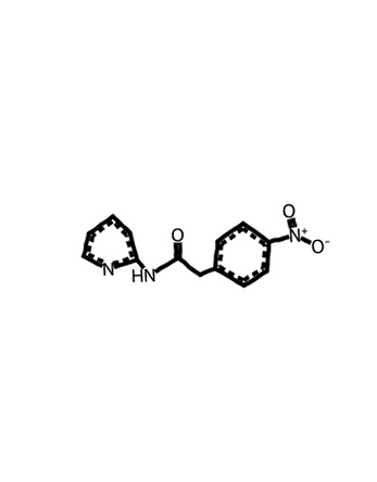 O=C(Cc1ccc([N+](=O)[O-])cc1)Nc1ccccn1